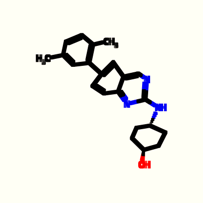 Cc1ccc(C)c(-c2ccc3nc(N[C@H]4CC[C@H](O)CC4)ncc3c2)c1